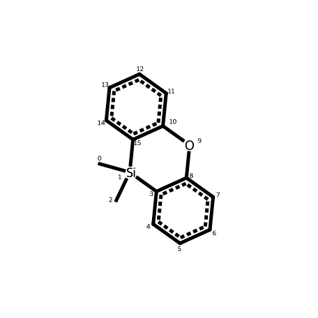 C[Si]1(C)c2ccccc2Oc2ccccc21